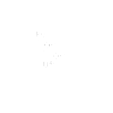 [O-2].[O-2].[Pu].[U+4]